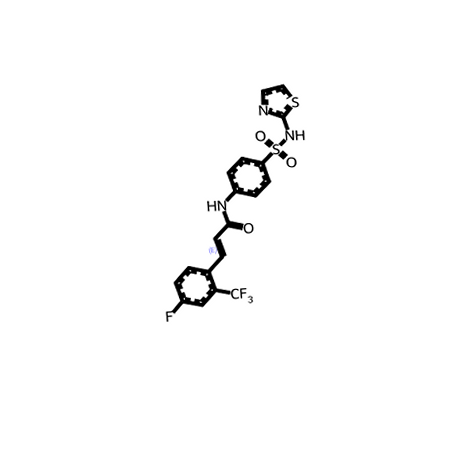 O=C(/C=C/c1ccc(F)cc1C(F)(F)F)Nc1ccc(S(=O)(=O)Nc2nccs2)cc1